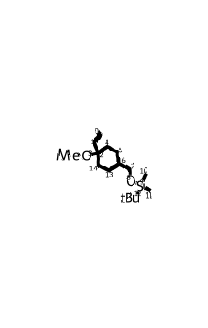 C=CC1(OC)CCC(CO[Si](C)(C)C(C)(C)C)CC1